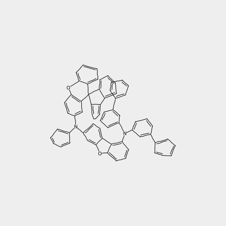 c1ccc(-c2cccc(N(c3cccc(-c4ccccc4)c3)c3cccc4oc5cc(N(c6ccccc6)c6ccc7c(c6)C6(c8ccccc8O7)c7ccccc7-c7ccccc76)ccc5c34)c2)cc1